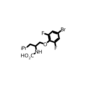 CC(C)CC(COc1c(F)cc(Br)cc1F)NC(=O)O